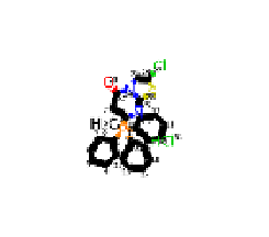 CP(c1ccccc1)(c1ccccc1)(c1ccccc1)c1cc(=O)n2cc(Cl)sc2n1.Cl